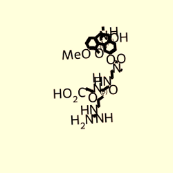 COc1ccc2c3c1OC1C(OC(=O)N(C)CCNC(=O)[C@H](CCCNC(=N)N)NC(=O)CC(=O)O)=CC[C@]4(O)[C@H](C2)N(C)CC[C@@]314